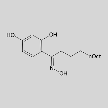 CCCCCCCCCCC/C(=N\O)c1ccc(O)cc1O